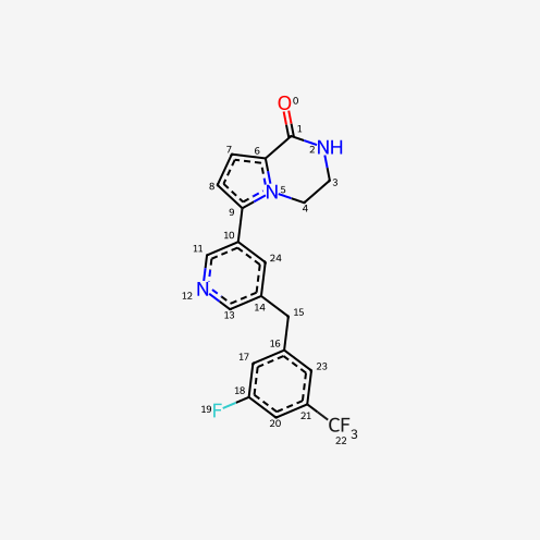 O=C1NCCn2c1ccc2-c1cncc(Cc2cc(F)cc(C(F)(F)F)c2)c1